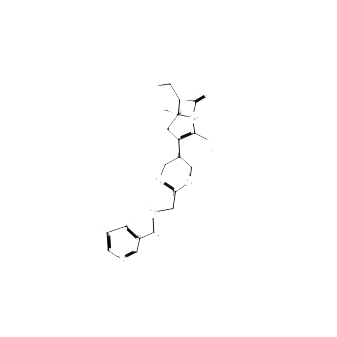 C[C@@H](O)[C@H]1C(=O)N2C(C(=O)O)=C(C3CN=C(CNCc4cccnc4)NC3)C[C@H]12